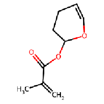 C=C(C)C(=O)OC1CCC=CO1